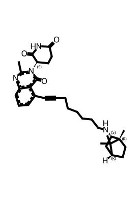 Cc1nc2cccc(C#CCCCCCCN[C@H]3C[C@H]4CC[C@]3(C)C4(C)C)c2c(=O)n1[C@H]1CCC(=O)NC1=O